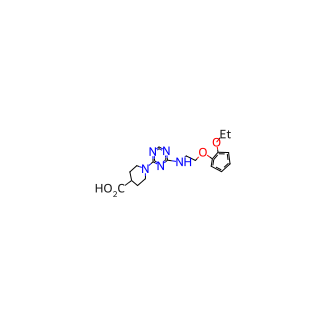 CCOc1ccccc1OCCNc1ncnc(N2CCC(C(=O)O)CC2)n1